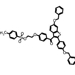 Cc1ccc(S(=O)(=O)OCCOc2ccc(C(=O)c3c(-c4ccc(OCc5ccccc5)cc4)sc4cc(OCc5ccccc5)ccc34)cc2)cc1